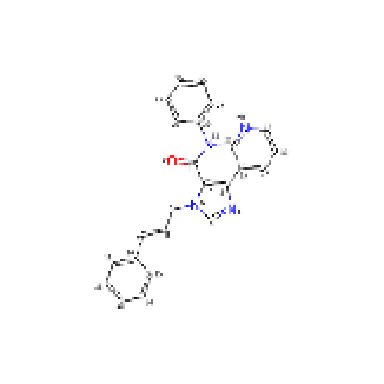 O=c1c2c(ncn2CC=Cc2ccccc2)c2cccnc2n1-c1ccccc1